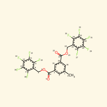 Cc1cc(C(=O)OCc2c(F)c(F)c(F)c(F)c2F)cc(C(=O)OCc2c(F)c(F)c(F)c(F)c2F)c1